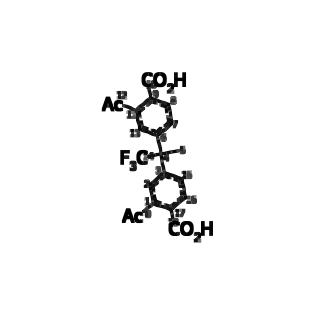 CC(=O)c1cc(C(C)(c2ccc(C(=O)O)c(C(C)=O)c2)C(F)(F)F)ccc1C(=O)O